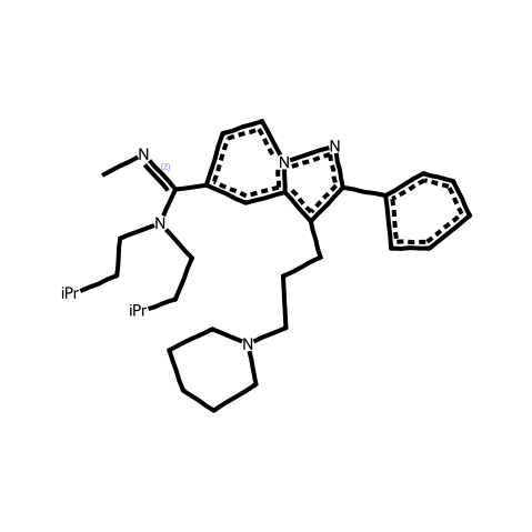 C/N=C(/c1ccn2nc(-c3ccccc3)c(CCCN3CCCCC3)c2c1)N(CCC(C)C)CCC(C)C